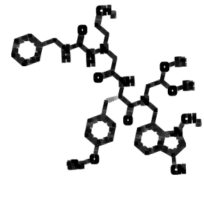 C=CCN(CC(=O)N[C@@H](Cc1ccc(OC(C)(C)C)cc1)C(=O)N(Cc1cccc2c(C#N)cn(C)c12)CC(OCC)OCC)NC(=O)NCc1ccccc1